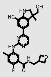 Cc1cc(F)c(C(=O)NCC2COC2)cc1Nc1nccc(-c2cc(C#N)c3c(c2)C(C)(CO)CN3)n1